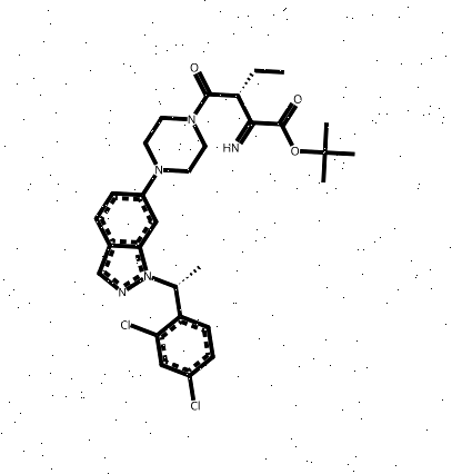 CC[C@H](C(=N)C(=O)OC(C)(C)C)C(=O)N1CCN(c2ccc3cnn([C@H](C)c4ccc(Cl)cc4Cl)c3c2)CC1